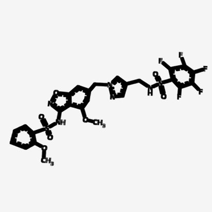 COc1ccccc1S(=O)(=O)Nc1noc2cc(Cn3cc(CNS(=O)(=O)c4c(F)c(F)c(F)c(F)c4F)cn3)cc(OC)c12